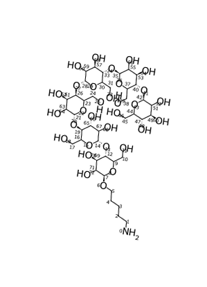 NCCCCCO[C@@H]1OC(CO)[C@@H](O[C@@H]2OC(CO)[C@@H](O[C@H]3OC(CO)[C@H](O[C@H]4OC(CO)[C@@H](O[C@@H]5OC(CO)[C@@H](O[C@@H]6OC(CO)[C@@H](O)[C@H](O)C6O)[C@H](O)C5O)[C@H](O)C4O)[C@H](O)C3O)[C@H](O)C2O)[C@H](O)C1O